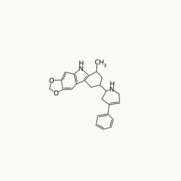 CC1CC(C2CC(c3ccccc3)=CCN2)Cc2c1[nH]c1cc3c(cc21)OCO3